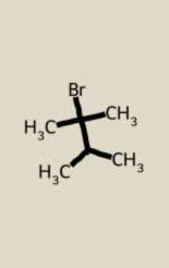 C[C](C)C(C)(C)Br